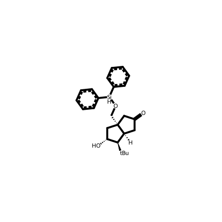 CC(C)(C)[C@H]1[C@H](O)C[C@@]2(CO[SiH](c3ccccc3)c3ccccc3)CC(=O)C[C@@H]12